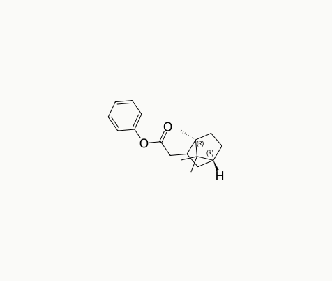 CC1(C)[C@@H]2CC[C@]1(C)C(CC(=O)Oc1ccccc1)C2